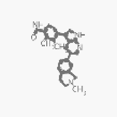 Cc1c(C(N)=O)ccc(-c2c[nH]c3ncc(-c4ccc5c(c4)CN(C)CC5)cc23)c1C